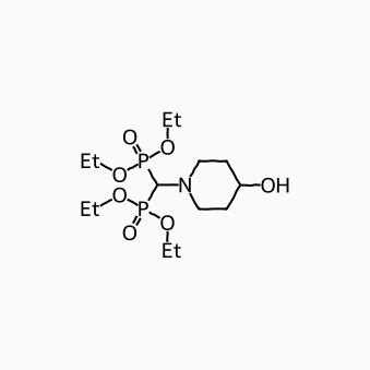 CCOP(=O)(OCC)C(N1CCC(O)CC1)P(=O)(OCC)OCC